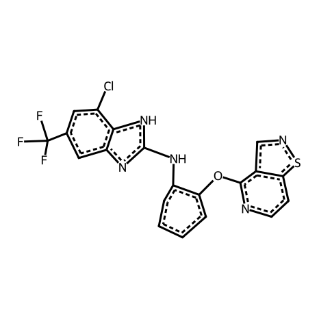 FC(F)(F)c1cc(Cl)c2[nH]c(Nc3ccccc3Oc3nccc4sncc34)nc2c1